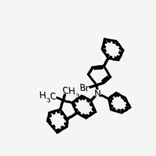 CC1(C)c2ccccc2-c2ccc(N(c3ccccc3)C3(Br)C=CC(c4ccccc4)=CC3)cc21